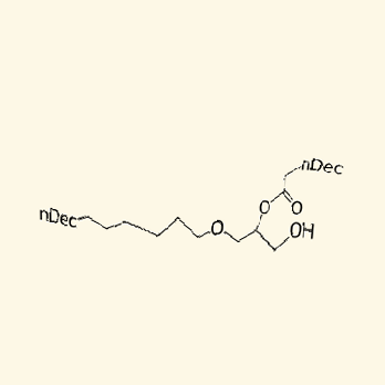 CCCCCCCCCCCCCCCCOCC(CO)OC(=O)CCCCCCCCCCC